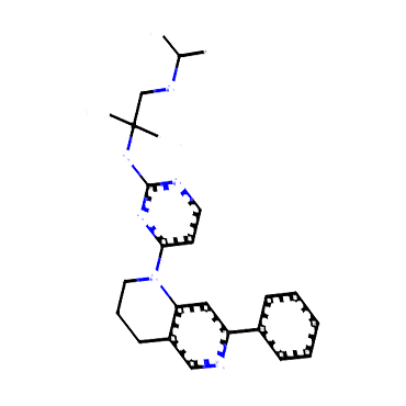 CC(C)NCC(C)(C)Nc1nccc(N2CCCc3cnc(-c4ccccc4)cc32)n1